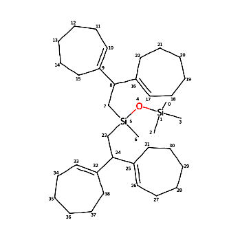 C[Si](C)(C)O[Si](C)(CC(C1=CCCCCC1)C1=CCCCCC1)CC(C1=CCCCCC1)C1=CCCCCC1